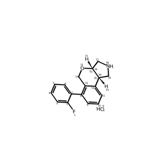 Cl.Fc1ccccc1-c1cccc2c1CO[C@@H]1CNC[C@H]21